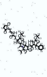 C/C(=C\[C@H](C(C)C)N(C)C(=O)[C@@H](NC(=O)[C@@H](N(C)C(=O)OC(C)(C)C)C(C)(C)c1ccccc1)C(C)(C)C)C(=O)N[C@H](CCC(=O)NCCN1C(=O)C=CC1=O)C(=O)OC(C)(C)C